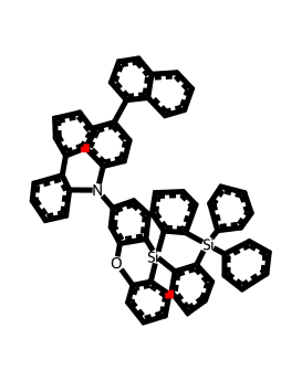 c1ccc(-c2ccccc2N(c2ccc(-c3cccc4ccccc34)cc2)c2ccc3c(c2)Oc2ccccc2[Si]32c3ccccc3[Si](c3ccccc3)(c3ccccc3)c3ccccc32)cc1